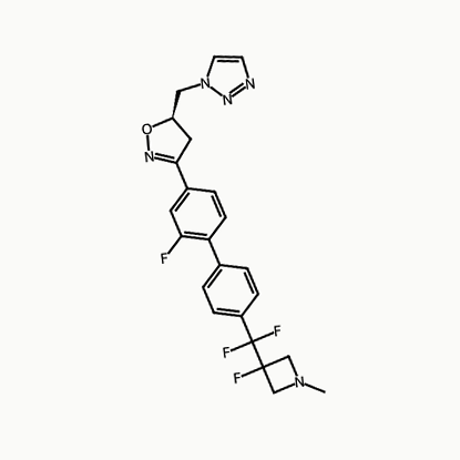 CN1CC(F)(C(F)(F)c2ccc(-c3ccc(C4=NO[C@@H](Cn5ccnn5)C4)cc3F)cc2)C1